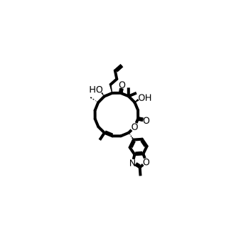 C=CCC[C@H]1C(=O)C(C)(C)[C@@H](O)CC(=O)O[C@H](c2ccc3oc(C)nc3c2)C/C=C(/C)CCC[C@H](C)[C@@H]1O